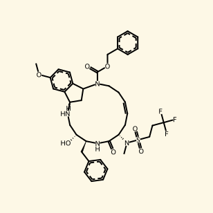 COc1ccc2c(c1)[C@@H]1CC2N(C(=O)OCc2ccccc2)CCC=CC[C@H](N(C)S(=O)(=O)CCC(F)(F)F)C(=O)N[C@@H](Cc2ccccc2)[C@H](O)CN1